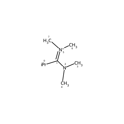 CC(C)C(N(C)C)=[N+](C)C